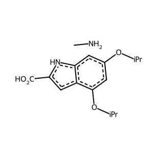 CC(C)Oc1cc(OC(C)C)c2cc(C(=O)O)[nH]c2c1.CN